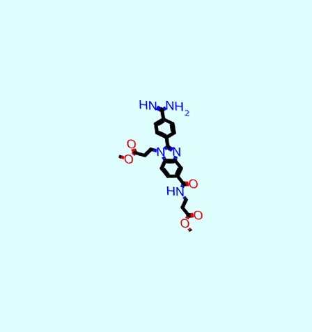 COC(=O)CCNC(=O)c1ccc2c(c1)nc(-c1ccc(C(=N)N)cc1)n2CCC(=O)OC